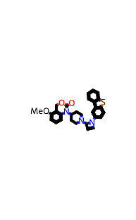 COc1cccc2c1COC(=O)N2C1CCN(C2C=CN2c2ccc3sc4ccccc4c3c2)CC1